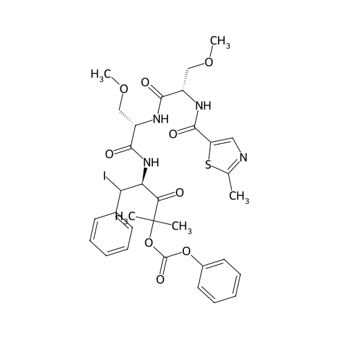 COC[C@H](NC(=O)c1cnc(C)s1)C(=O)N[C@@H](COC)C(=O)N[C@@H](C(=O)C(C)(C)OC(=O)Oc1ccccc1)C(I)c1ccccc1